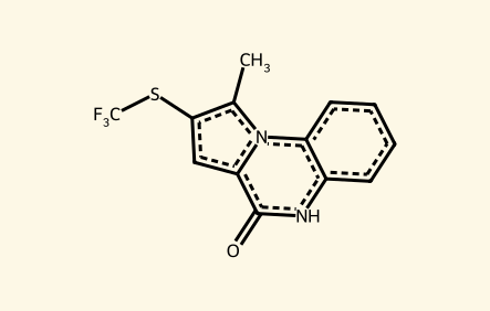 Cc1c(SC(F)(F)F)cc2c(=O)[nH]c3ccccc3n12